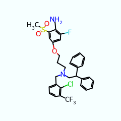 CS(=O)(=O)c1cc(OCCCN(Cc2cccc(C(F)(F)F)c2Cl)CC(c2ccccc2)c2ccccc2)cc(F)c1CN